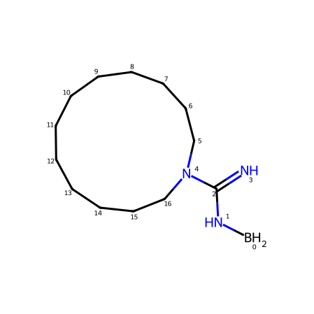 BNC(=N)N1CCCCCCCCCCCC1